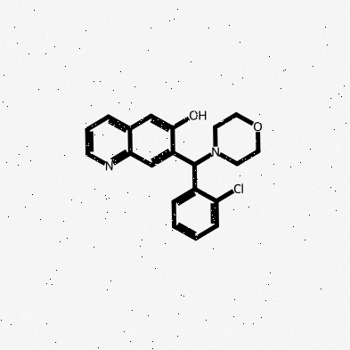 Oc1cc2cccnc2cc1C(c1ccccc1Cl)N1CCOCC1